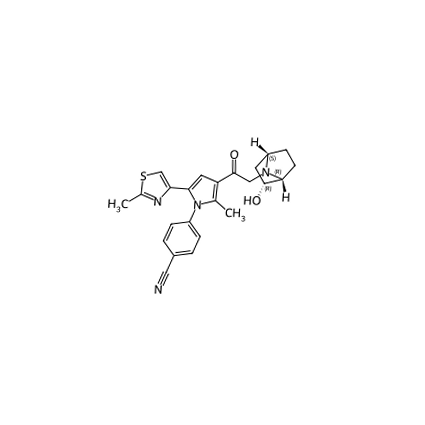 Cc1nc(-c2cc(C(=O)CN3[C@H]4CC[C@@H]3[C@H](O)C4)c(C)n2-c2ccc(C#N)cc2)cs1